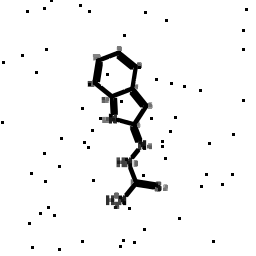 NC(=S)NN=C1C=c2ccccc2=N1